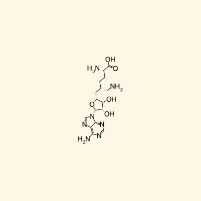 NC[C@@H](CC[C@H](N)C(=O)O)C[C@H]1O[C@@H](n2cnc3c(N)ncnc32)[C@@H](O)C1O